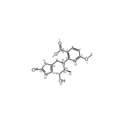 COc1ccc([N+](=O)[O-])c(N(Cc2cnc(Cl)s2)[C@@H](C)CO)n1